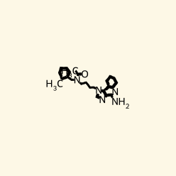 CC(=O)N(CCCCn1cnc2c(N)nc3ccccc3c21)Cc1ccccc1C